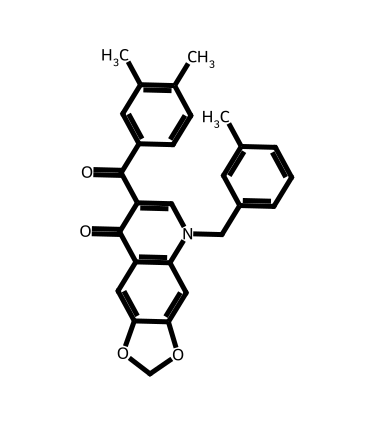 Cc1cccc(Cn2cc(C(=O)c3ccc(C)c(C)c3)c(=O)c3cc4c(cc32)OCO4)c1